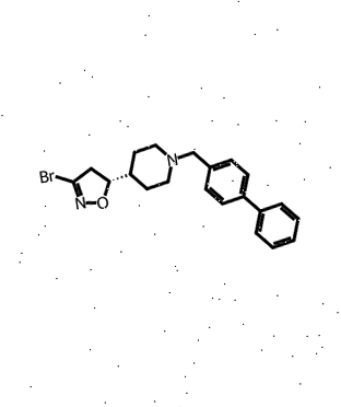 BrC1=NO[C@@H](C2CCN(Cc3ccc(-c4ccccc4)cc3)CC2)C1